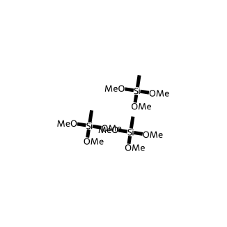 CO[Si](C)(OC)OC.CO[Si](C)(OC)OC.CO[Si](C)(OC)OC